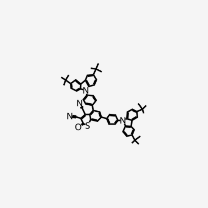 CC(C)(C)c1ccc2c(c1)c1cc(C(C)(C)C)ccc1n2-c1ccc(-c2cc(-c3ccc(-n4c5ccc(C(C)(C)C)cc5c5cc(C(C)(C)C)ccc54)cc3)c3c(C#N)c(C#N)c(=O)sc3c2)cc1